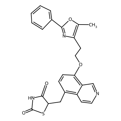 Cc1oc(-c2ccccc2)nc1CCOc1ccc(CC2SC(=O)NC2=O)c2ccncc12